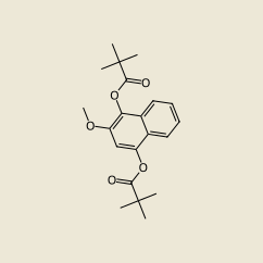 COc1cc(OC(=O)C(C)(C)C)c2ccccc2c1OC(=O)C(C)(C)C